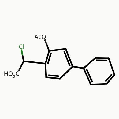 CC(=O)Oc1cc(-c2ccccc2)ccc1C(Cl)C(=O)O